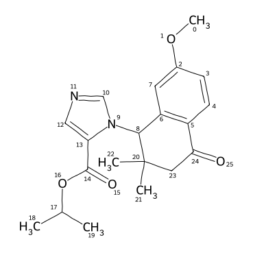 COc1ccc2c(c1)C(n1cncc1C(=O)OC(C)C)C(C)(C)CC2=O